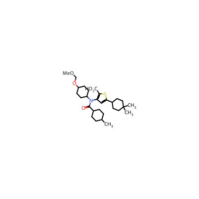 COCOC1CCC(N(C(=O)C2CCC(C)CC2)c2cc(C3CCC(C)(C)CC3)sc2C(=O)O)CC1